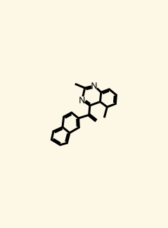 C=C(C1=NC(C)=NC2=CC=CC(C)C21)c1ccc2ccccc2c1